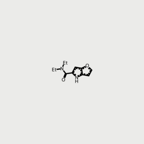 CCN(CC)C(=O)c1cc2occc2[nH]1